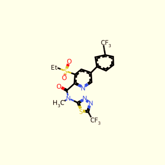 CCS(=O)(=O)c1cc(-c2cccc(C(F)(F)F)c2)cnc1C(=O)N(C)c1nnc(C(F)(F)F)s1